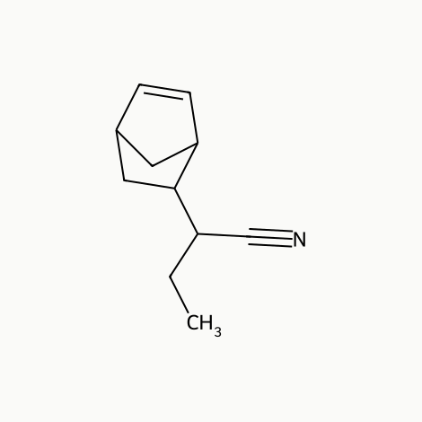 CCC(C#N)C1CC2C=CC1C2